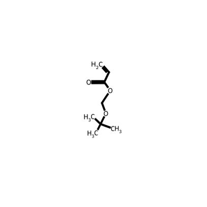 C=CC(=O)OCOC(C)(C)C